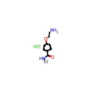 CCNC(=O)c1ccc(OCCN)cc1.Cl